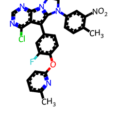 Cc1cccc(Oc2ccc(-c3c4n(c5ncnc(Cl)c35)CCN4c3ccc(C)c([N+](=O)[O-])c3)cc2F)n1